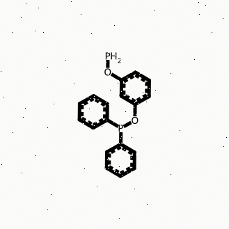 POc1cccc(OP(c2ccccc2)c2ccccc2)c1